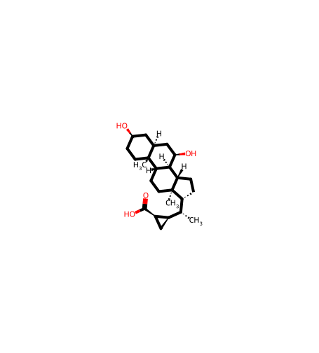 C[C@H]([C@H]1C[C@H]1C(=O)O)[C@H]1CC[C@H]2[C@@H]3[C@H](O)C[C@@H]4C[C@H](O)CC[C@]4(C)[C@H]3CC[C@]12C